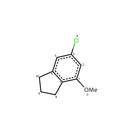 COc1cc(Cl)cc2c1CCC2